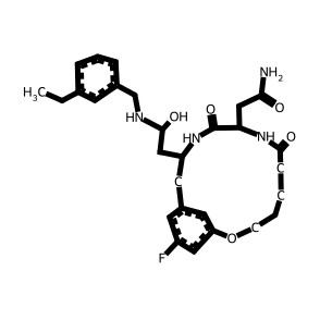 CCc1cccc(CNC(O)CC2Cc3cc(F)cc(c3)OCCCCC(=O)NC(CC(N)=O)C(=O)N2)c1